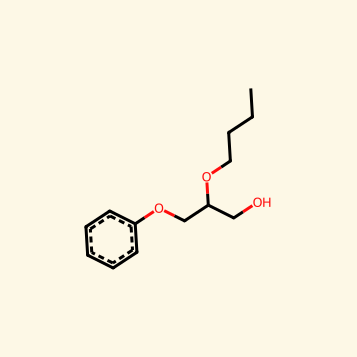 CCCCOC(CO)COc1ccccc1